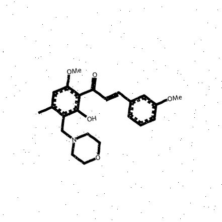 COc1cccc(/C=C/C(=O)c2c(OC)cc(C)c(CN3CCOCC3)c2O)c1